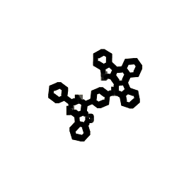 c1ccc(-c2nc(-c3ccc(-n4c5ccccc5c5c6ccccc6c6c7ccccc7sc6c54)cc3)c3oc4ccccc4c3n2)cc1